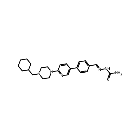 NC(=S)N/N=C/c1ccc(-c2ccc(N3CCN(CC4CCCCC4)CC3)nc2)cc1